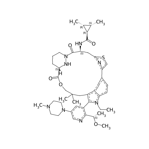 CCn1c(-c2cc(N3CCN(C)CC3)cnc2[C@H](C)OC)c2c3cc(ccc31)-c1csc(n1)C[C@H](NC(=O)[C@H]1[C@H](C)[C@@H]1C)C(=O)N1CCC[C@H](N1)C(=O)OCC(C)(C)C2